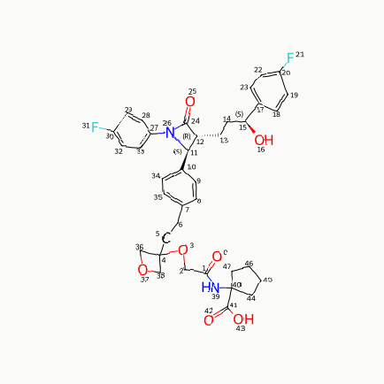 O=C(COC1(CCc2ccc([C@@H]3[C@@H](CC[C@H](O)c4ccc(F)cc4)C(=O)N3c3ccc(F)cc3)cc2)COC1)NC1(C(=O)O)CCCC1